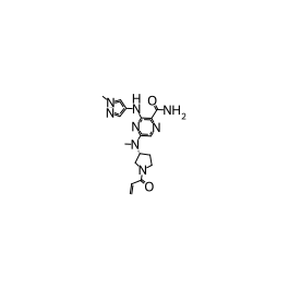 C=CC(=O)N1CC[C@@H](N(C)c2cnc(C(N)=O)c(Nc3cnn(C)c3)n2)C1